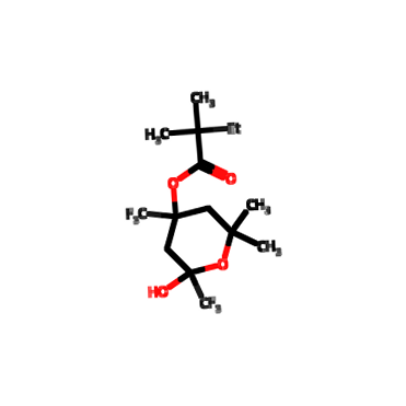 CCC(C)(C)C(=O)OC1(C(F)(F)F)CC(C)(C)OC(O)(C(F)(F)F)C1